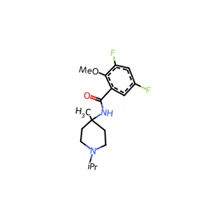 COc1c(F)cc(F)cc1C(=O)NC1(C)CCN(C(C)C)CC1